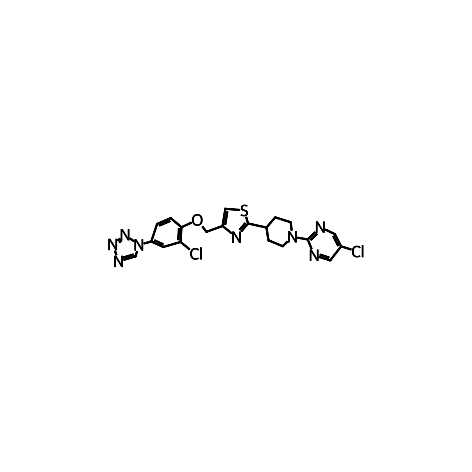 Clc1cnc(N2CCC(c3nc(COc4ccc(-n5cnnn5)cc4Cl)cs3)CC2)nc1